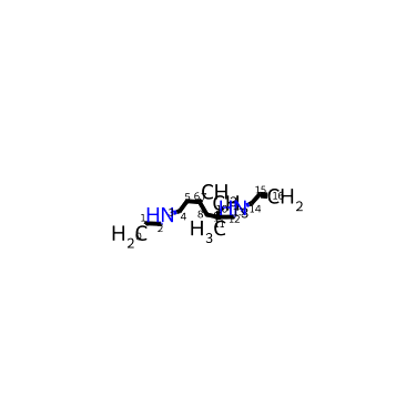 C=CCNCCC(C)CC(C)(C)CNCC=C